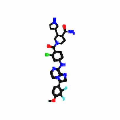 COc1ccc(-c2cnc3c(Nc4ccc(C(=O)N5CCC(C(N)=O)C(C6CCNC6)C5)c(Cl)c4)nccn23)c(F)c1F